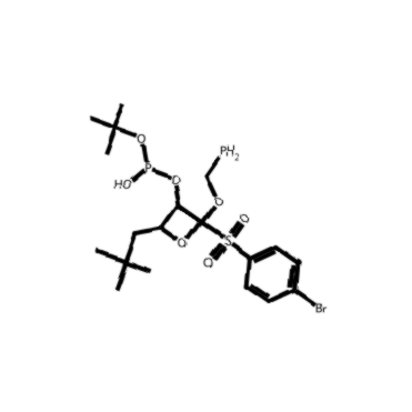 CC(C)(C)CC1OC(OCP)(S(=O)(=O)c2ccc(Br)cc2)C1OP(O)OC(C)(C)C